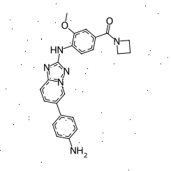 COc1cc(C(=O)N2CCC2)ccc1Nc1nc2ccc(-c3ccc(N)cc3)cn2n1